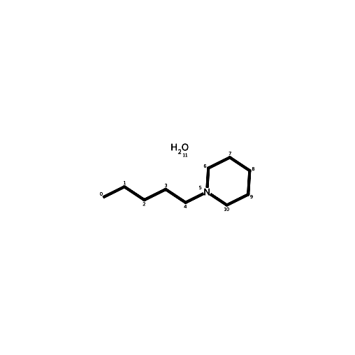 CCCCCN1CCCCC1.O